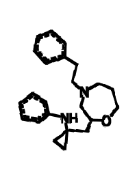 c1ccc(CCN2CCCO[C@@H](CC3(Nc4ccccc4)CC3)C2)cc1